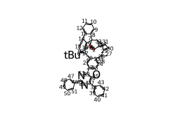 CC(C)(C)c1ccc2c(c1)C13c4ccccc4-c4ccc(cc41)-c1cc4c(cc1C(C)(C)c1ccc-2c3c1)oc1c(-c2ccccc2)nc(-c2ccccc2)nc14